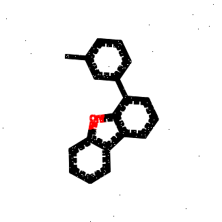 Cc1cccc(-c2cccc3c2oc2ccccc23)c1